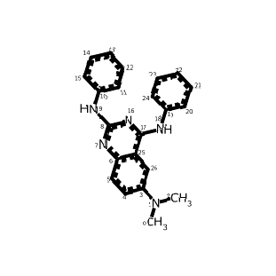 CN(C)c1ccc2nc(Nc3ccccc3)nc(Nc3ccccc3)c2c1